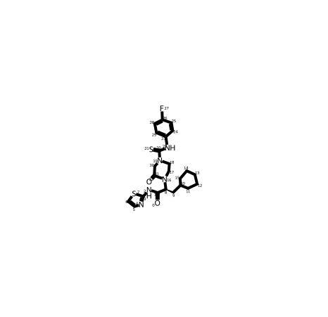 O=C(Nc1nccs1)[C@H](CC1CCCCC1)N1CCN(C(=S)Nc2ccc(F)cc2)CC1=O